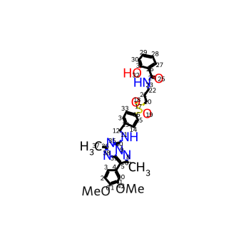 COc1ccc(-c2c(C)nn3c(NCc4ccc(S(=O)(=O)CCCNC(=O)c5ccccc5O)cc4)nc(C)nc23)cc1OC